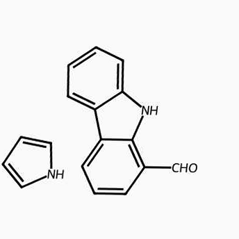 O=Cc1cccc2c1[nH]c1ccccc12.c1cc[nH]c1